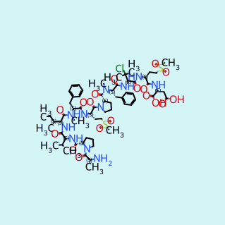 CC[C@H](C)[C@H](NC(=O)[C@@H](NC(=O)[C@@H]1CCCN1C(=O)[C@H](C)N)C(C)C)C(=O)N(C)[C@@H](Cc1ccccc1)C(=O)N[C@@H](CCS(C)(=O)=O)C(=O)N1CCC[C@H]1C(=O)N(C)[C@@H](Cc1ccccc1)C(=O)N[C@H](C(=O)N[C@@H](CCS(C)(=O)=O)C(=O)N[C@@H](CC(=O)O)C(=O)O)C(C)(C)Cl